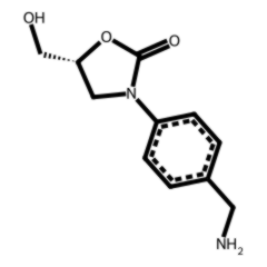 NCc1ccc(N2C[C@H](CO)OC2=O)cc1